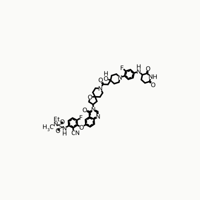 CCN(C)S(=O)(=O)Nc1ccc(F)c(Oc2ccc3ncn(C4COC5(CCN(C(=O)CC6(O)CCN(c7ccc(NC8CCC(=O)NC8=O)cc7F)CC6)CC5)C4)c(=O)c3c2)c1C#N